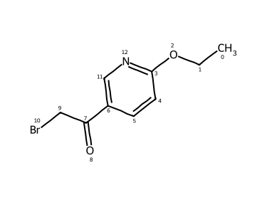 CCOc1ccc(C(=O)CBr)cn1